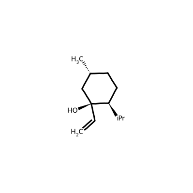 C=C[C@]1(O)C[C@H](C)CC[C@H]1C(C)C